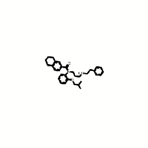 CC(C)COc1ccccc1N(CCCNCCc1ccccc1)C(=O)c1ccc2c(c1)CCCC2